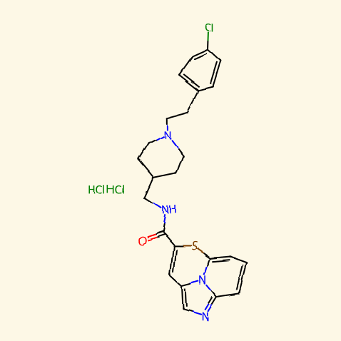 Cl.Cl.O=C(NCC1CCN(CCc2ccc(Cl)cc2)CC1)C1=Cc2cnc3cccc(n23)S1